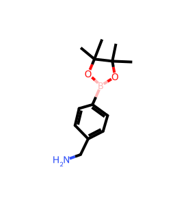 CC1(C)OB(c2ccc(CN)cc2)OC1(C)C